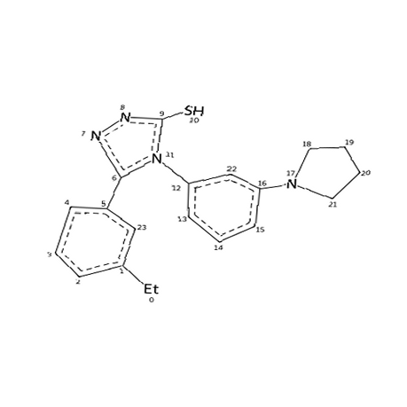 CCc1cccc(-c2nnc(S)n2-c2cccc(N3CCCC3)c2)c1